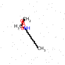 C=CC(=O)OCC(C)OC(=O)NCCCCCCCCCCCCCCCCCC